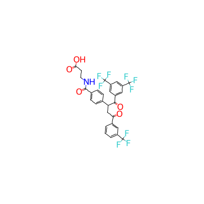 O=C(O)CCNC(=O)c1ccc(C(CC(=O)c2cccc(C(F)(F)F)c2)C(=O)c2cc(C(F)(F)F)cc(C(F)(F)F)c2)cc1